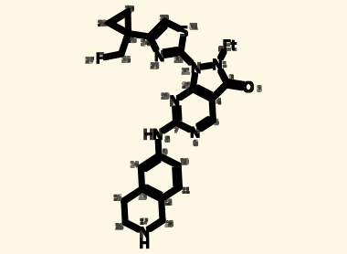 CCn1c(=O)c2cnc(Nc3ccc4c(c3)CCNC4)nc2n1-c1nc(C2(CF)CC2)cs1